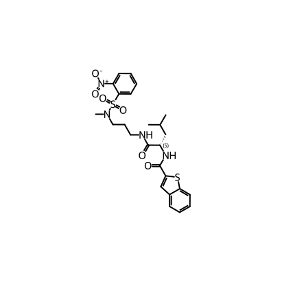 CC(C)C[C@H](NC(=O)c1cc2ccccc2s1)C(=O)NCCCN(C)S(=O)(=O)c1ccccc1[N+](=O)[O-]